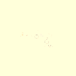 COc1ccc([C@]2(CCN(Cc3ccc(C4=CC[C@@H](COS(C)(=O)=O)CC4)cc3)CC(C)(C)C(F)(F)F)CCOC(C)(C)C2)cc1